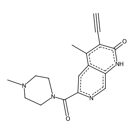 C#Cc1c(C)c2cc(C(=O)N3CCN(C)CC3)ncc2[nH]c1=O